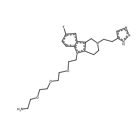 NCCOCCOCCOCCn1c2c(c3cc(F)ccc31)CN(CCc1cnn[nH]1)CC2